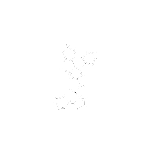 O=C(Nc1nc(-c2ccncc2)c(-c2ccc(F)cc2)c(=O)[nH]1)[C@H]1NCCC1c1ccccc1